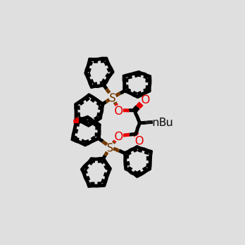 CCCCC(C(=O)OS(c1ccccc1)(c1ccccc1)c1ccccc1)C(=O)OS(c1ccccc1)(c1ccccc1)c1ccccc1